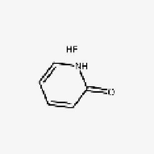 F.O=c1cccc[nH]1